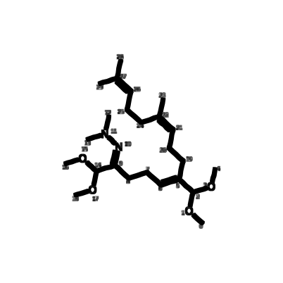 COC(OC)C(=CCCC(=NN(C)C)C(OC)OC)CCC=C(C)CCC=C(C)C